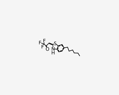 CCCCCCc1ccc2c(c1)S/C(=C/C(=O)C(F)(F)F)N2